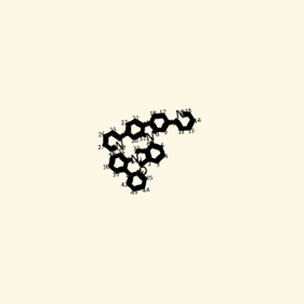 O=C1c2cccc(-n3c4cc(-c5ccccn5)ccc4c4ccc(-c5ccccn5)cc43)c2CN1c1ccccc1-c1ccccc1